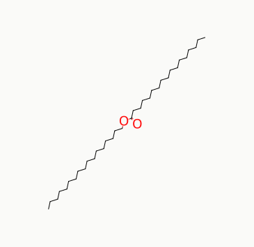 CCCCCCCCCCCCCCCCCOC(=O)CCCCCCCCCCCCCCCC